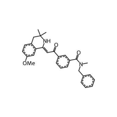 COc1ccc2c(c1)C(=CC(=O)c1cccc(C(=O)N(C)Cc3ccccc3)c1)NC(C)(C)C2